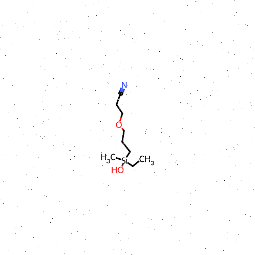 CC[Si](C)(O)CCCOCCC#N